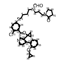 O=CN(CCCCSc1ccc(Cl)c(COC2(c3cnccc3-c3ccccc3OC3CC3)CC2)c1)CCCN1CCCC1=O